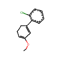 COC1=CC[CH]C(c2ccccc2Cl)=C1